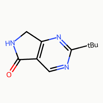 CC(C)(C)c1ncc2c(n1)CNC2=O